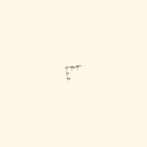 [Cr].[Fe].[Mn].[Ni+2].[O-2]